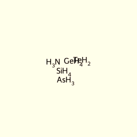 N.[AsH3].[GeH4].[SiH4].[TeH2]